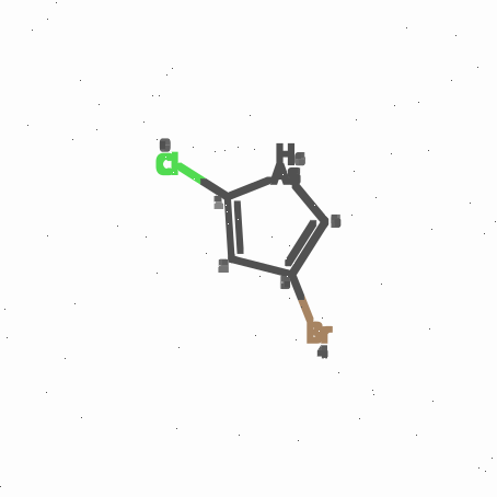 ClC1=CC(Br)=C[AsH]1